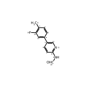 Cc1ccc(-c2ccc(NC=O)nc2)cc1F